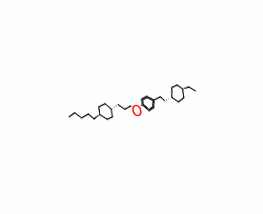 CCCCC[C@H]1CC[C@H](CCCOc2ccc(CC[C@H]3CC[C@H](CC)CC3)cc2)CC1